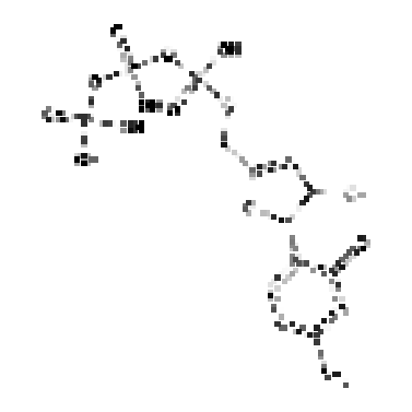 Nc1ccn([C@@H]2OC(COP(=O)(O)OP(=O)(O)OP(=O)(O)O)=CC2O)c(=O)n1